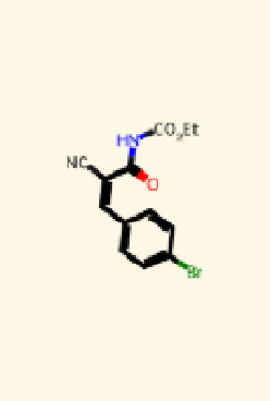 CCOC(=O)NC(=O)C(C#N)=Cc1ccc(Br)cc1